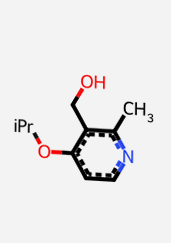 Cc1nccc(OC(C)C)c1CO